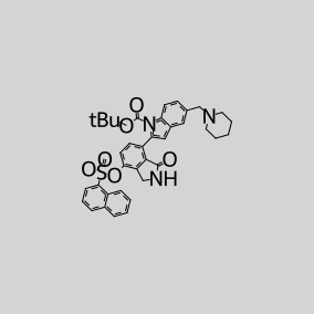 CC(C)(C)OC(=O)n1c(-c2ccc(OS(=O)(=O)c3cccc4ccccc34)c3c2C(=O)NC3)cc2cc(CN3CCCCC3)ccc21